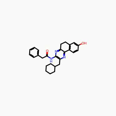 O=C(Cc1ccccc1)Nc1nc2c(nc1CC1CCCCC1)-c1ccc(O)cc1CC2